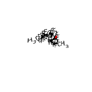 COC(F)(F)C(F)(F)C(F)(F)C(F)(F)OC(F)(F)C1(F)OC(F)(F)C2(C(F)(F)OC(F)(C(C)(F)F)OC2(F)F)C(F)(F)O1